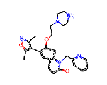 Cc1noc(C)c1-c1cc2ccc(=O)n(Cc3ccccn3)c2cc1OCCN1CCNCC1